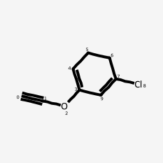 C#COC1=CCCC(Cl)=C1